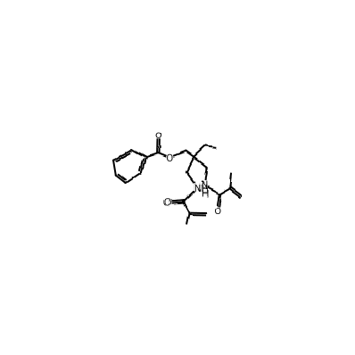 C=C(C)C(=O)NCC(CC)(CNC(=O)C(=C)C)COC(=O)c1ccccc1